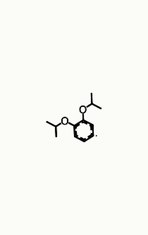 CC(C)Oc1c[c]ccc1OC(C)C